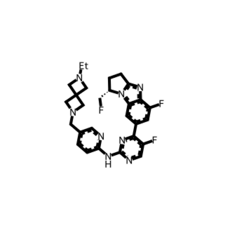 CCN1CC2(C1)CN(Cc1ccc(Nc3ncc(F)c(-c4cc(F)c5nc6n(c5c4)[C@H](CF)CC6)n3)nc1)C2